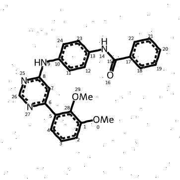 COc1cccc(-c2cc(Nc3ccc(NC(=O)c4ccccc4)cc3)ncn2)c1OC